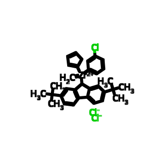 [CH2]=[Zr+2]([C]1=CC=CC1)([c]1cccc(Cl)c1)[CH]1c2cc(C(C)(C)C)ccc2-c2ccc(C(C)(C)C)cc21.[Cl-].[Cl-]